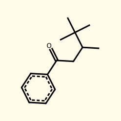 CC(CC(=O)c1ccccc1)C(C)(C)C